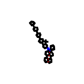 CC1(C)c2cc(-c3ccc(-c4ccc(-c5ccccc5)cc4)cc3)ccc2-c2ccc(N(c3ccc(-c4ccccc4)cc3)c3ccccc3-c3ccc(-c4ccccc4)cc3)cc21